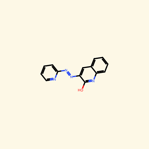 Oc1nc2ccccc2cc1N=Nc1ccccn1